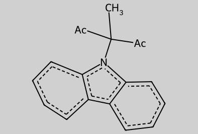 CC(=O)C(C)(C(C)=O)n1c2ccccc2c2ccccc21